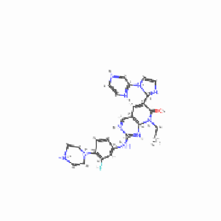 O=c1c(-c2nccn2-c2cnccn2)cc2cnc(Nc3ccc(N4CCNCC4)c(F)c3)nc2n1CC(F)(F)F